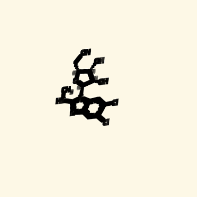 CNc1nc2cc(Cl)c(Cl)cc2n1[C@H]1O[C@H](CO)[C@H](O)[C@@H]1O